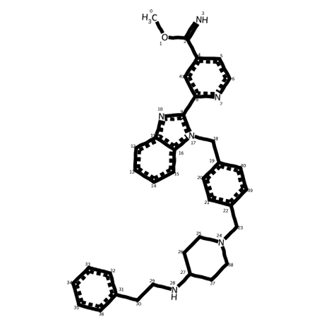 COC(=N)c1ccnc(-c2nc3ccccc3n2Cc2ccc(CN3CCC(NCCc4ccccc4)CC3)cc2)c1